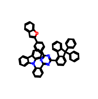 c1ccc(C2(c3ccccc3)c3ccccc3-c3c(-c4nc(-c5ccc(-c6cc7ccccc7o6)cc5)nc(-c5ccccc5-n5c6ccccc6c6ccccc65)n4)cccc32)cc1